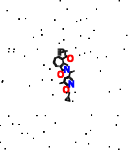 Cc1cc(C(C)N2CC3=C(C=C=CC=C3C(=O)C(C)C)C2=O)cnc1OCC1CC1